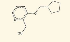 CC(C)(C)Cc1ncccc1OCC1CCCC1